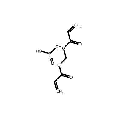 C=CC(=O)OCOC(=O)C=C.O=[PH](O)O